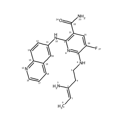 C/C=C(\N)CCNc1nc(Nc2ccc3ncccc3c2)c(C(N)=O)cc1F